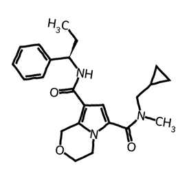 CC[C@@H](NC(=O)c1cc(C(=O)N(C)CC2CC2)n2c1COCC2)c1ccccc1